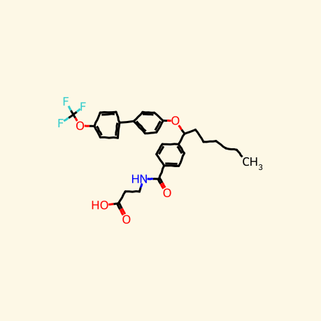 CCCCCCC(Oc1ccc(-c2ccc(OC(F)(F)F)cc2)cc1)c1ccc(C(=O)NCCC(=O)O)cc1